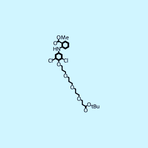 COC(=O)c1ccccc1Nc1cc(Cl)c(OCCCOCCCOCCCOCCC(=O)OC(C)(C)C)c(Cl)c1